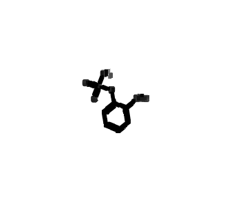 CC(=O)Oc1ccccc1OS(=O)(=O)C(F)(F)F